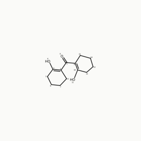 O=C(C1=C(O)CCCC1)C1=C(O)CCCC1